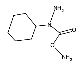 NOC(=O)N(N)C1CCCCC1